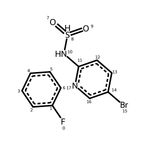 Fc1ccccc1.O=[SH](=O)Nc1ccc(Br)cn1